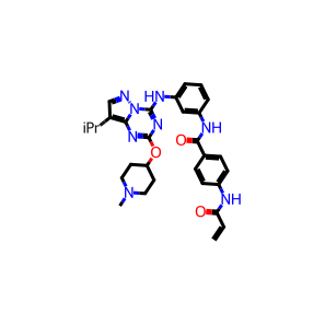 C=CC(=O)Nc1ccc(C(=O)Nc2cccc(Nc3nc(OC4CCN(C)CC4)nc4c(C(C)C)cnn34)c2)cc1